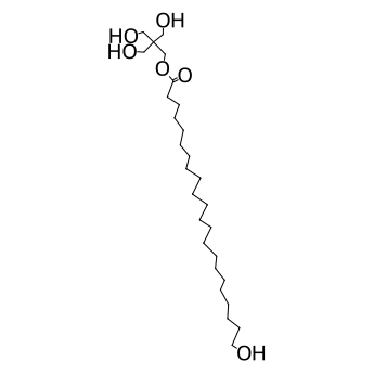 O=C(CCCCCCCCCCCCCCCCCCCCCO)OCC(CO)(CO)CO